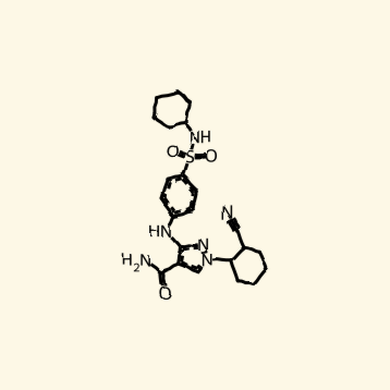 N#CC1CCCCC1n1cc(C(N)=O)c(Nc2ccc(S(=O)(=O)NC3CCCCC3)cc2)n1